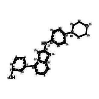 Oc1cccc(-c2cccc3nc(Nc4ccc(N5CCOCC5)cc4)nn23)c1